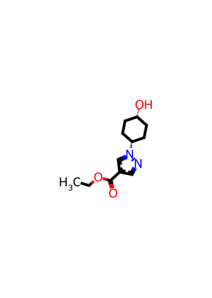 CCOC(=O)c1cnn([C@H]2CC[C@@H](O)CC2)c1